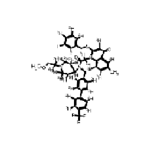 [2H]c1c([2H])c(F)c(F)c(CSc2c([2H])c(=O)c3c([2H])c(C)c([2H])c([2H])c3n2C([2H])([2H])C(=O)N(Cc2c([2H])c([2H])c(-c3c([2H])c([2H])c(C(F)(F)F)c([2H])c3[2H])c([2H])c2[2H])C2([2H])C([2H])([2H])C([2H])([2H])N(C([2H])([2H])COC)C([2H])([2H])C2([2H])[2H])c1[2H]